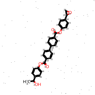 CC(O)c1ccc(OC(=O)c2ccc(-c3ccc(C(=O)Oc4ccc(C5CO5)cc4)cc3)cc2)cc1